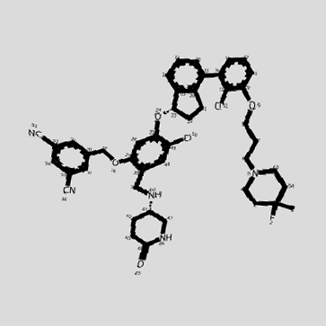 CC1(F)CCN(CCCOc2cccc(-c3cccc4c3CC[C@@H]4Oc3cc(OCc4cc(C#N)cc(C#N)c4)c(CN[C@H]4CCC(=O)NC4)cc3Cl)c2Cl)CC1